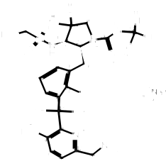 CCS(=O)(=O)N[C@@H]1[C@H](Cc2cccc(C(F)(F)c3nc(CN)ccc3C)c2F)N(C(=O)OC(C)(C)C)CC1(F)F.[BH4-].[Na+]